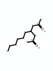 CCCCCCC(CC(C)=O)CC(C)=O